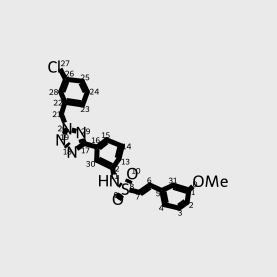 COc1cccc(/C=C/S(=O)(=O)Nc2cccc(-c3nnn(Cc4cccc(Cl)c4)n3)c2)c1